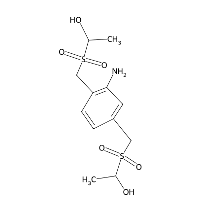 CC(O)S(=O)(=O)Cc1ccc(CS(=O)(=O)C(C)O)c(N)c1